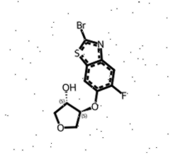 O[C@H]1COC[C@@H]1Oc1cc2sc(Br)nc2cc1F